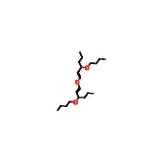 CCCCOC(C=COC=CC(CCC)OCCCC)CCC